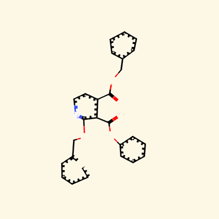 O=C(OCc1ccccc1)c1ccnc(OCc2ccccc2)c1C(=O)Oc1ccccc1